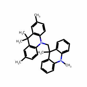 Cc1ccc2c(c1)C(C)(C)c1cc(C)ccc1N2CC1(C)c2ccccc2N(C)c2ccccc21